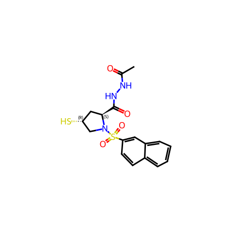 CC(=O)NNC(=O)[C@@H]1C[C@@H](S)CN1S(=O)(=O)c1ccc2ccccc2c1